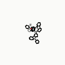 Fc1cccc(-n2c3ccccc3c3cccc(N(c4ccc5c(c4)oc4ccccc45)c4ccc5c(c4)c4ccccc4n5-c4ccccc4)c32)c1